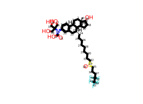 C[C@]12CC[C@@H]3c4ccc(N(C(=O)O)C(CO)(CO)CO)cc4C[C@@H](CCCCCCCCC[S+]([O-])CCCC(F)(F)C(F)(F)F)[C@H]3[C@@H]1CC[C@@H]2O